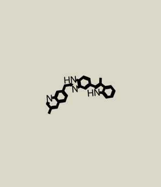 Cc1cnc2cc(Cc3nc4cc(-c5[nH]c6ccccc6c5C)ccc4[nH]3)ccc2c1